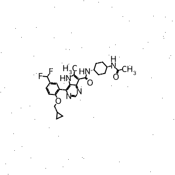 CC(=O)N[C@H]1CC[C@H](NC(=O)c2c(C)[nH]c3c(-c4cc(C(F)F)ccc4OCC4CC4)ncnc23)CC1